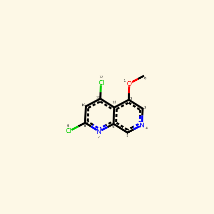 COc1cncc2nc(Cl)cc(Cl)c12